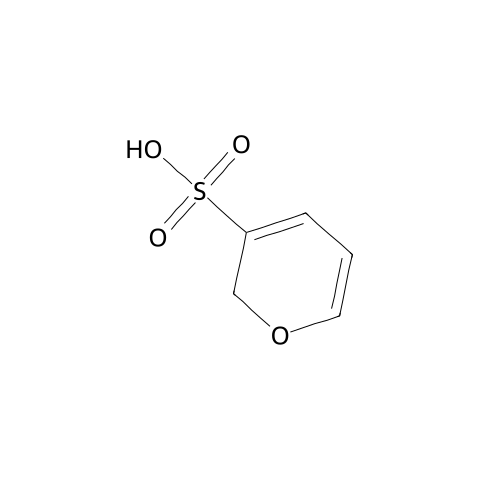 O=S(=O)(O)C1=CC=COC1